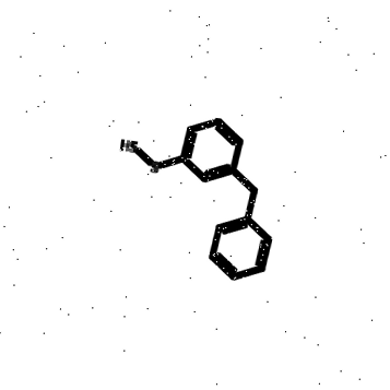 SSc1cccc(Cc2ccccc2)c1